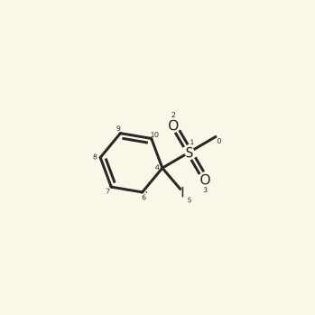 CS(=O)(=O)C1(I)[CH]C=CC=C1